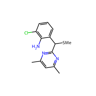 CSC(c1nc(C)cc(C)n1)c1cccc(Cl)c1N